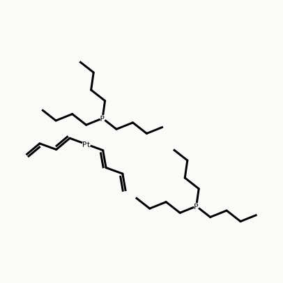 C=CC=[CH][Pt]/[CH]=C/C=C.CCCCP(CCCC)CCCC.CCCCP(CCCC)CCCC